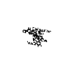 COc1cccc(OC)c1N/C(=N/S(=O)(=O)[C@@H](C)[C@H](OC)c1ncc(Cl)cn1)NNC(=O)[C@@H]1CC[C@@H](OC)C1